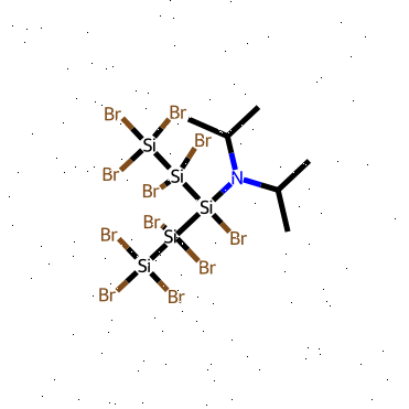 CC(C)N(C(C)C)[Si](Br)([Si](Br)(Br)[Si](Br)(Br)Br)[Si](Br)(Br)[Si](Br)(Br)Br